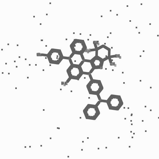 Cc1cc2c3c(c1)N(c1ccc(N(c4ccccc4)c4ccccc4)cc1)c1oc4c(c1B3c1ccccc1N2c1ccc(C(C)(C)C)cc1)C(C)(C)CCC4(C)C